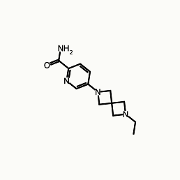 CCN1CC2(C1)CN(c1ccc(C(N)=O)nc1)C2